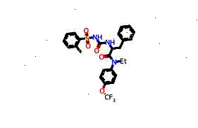 CCN(C(=O)C(Cc1ccccc1)NC(=O)NS(=O)(=O)c1ccccc1C)c1ccc(OC(F)(F)F)cc1